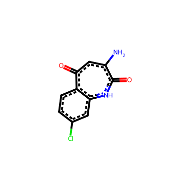 Nc1cc(=O)c2ccc(Cl)cc2[nH]c1=O